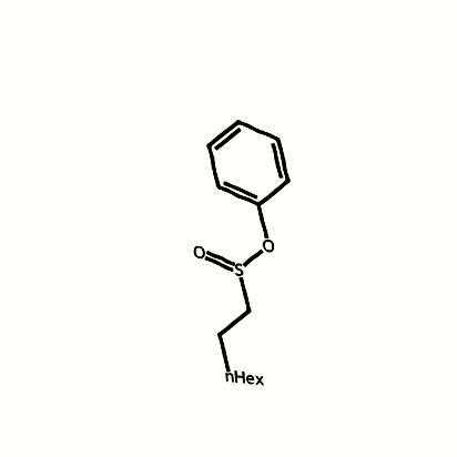 CCCCCCCCS(=O)Oc1ccccc1